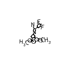 CCOC(=O)c1ccc(N2C=C(C#N)C(c3cc(F)cc(F)c3)C2)cc1OCOC